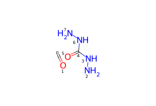 C=O.NNC(=O)NN